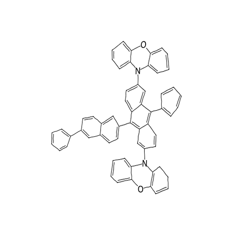 C1=CC2=C(CC1)N(c1ccc3c(-c4ccccc4)c4cc(N5c6ccccc6Oc6ccccc65)ccc4c(-c4ccc5cc(-c6ccccc6)ccc5c4)c3c1)c1ccccc1O2